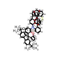 CC(C)(C)c1ccc2c(c1)C1(c3ccccc3Oc3c(N(c4ccc5c(c4)C4(c6ccccc6Sc6ccccc64)c4ccccc4-5)c4ccccc4-c4ccc(-c5ccccc5)cc4)cccc31)c1cc(C(C)(C)C)ccc1-2